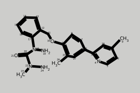 Cc1ccnc(-c2ccc(OCc3ccccc3N(N)C(=O)N(C)N)c(C)c2)c1